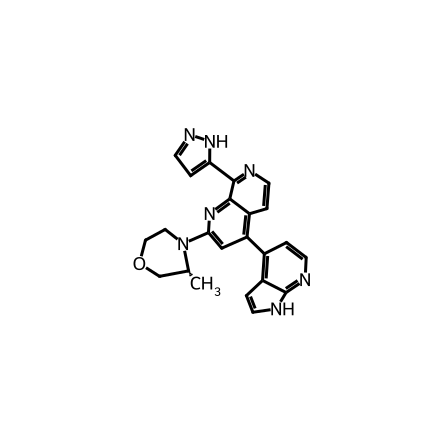 C[C@@H]1COCCN1c1cc(-c2ccnc3[nH]ccc23)c2ccnc(-c3ccn[nH]3)c2n1